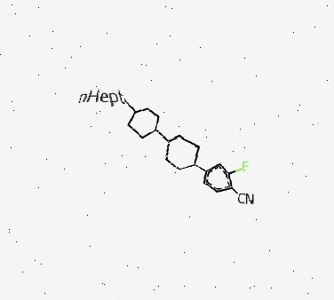 CCCCCCCC1CCC(C2CCC(c3ccc(C#N)c(F)c3)CC2)CC1